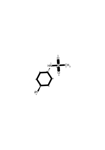 CC(C)[C@H]1CC[C@H](NS(C)(=O)=O)CC1